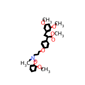 CCN(CCCOc1ccc(/C(=C/c2cc(OC)cc(OC)c2)C(=O)OC)cc1)Oc1ccccc1OC